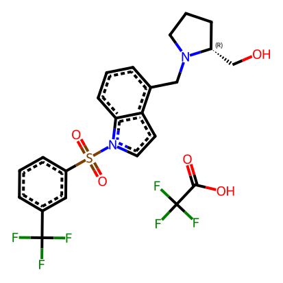 O=C(O)C(F)(F)F.O=S(=O)(c1cccc(C(F)(F)F)c1)n1ccc2c(CN3CCC[C@@H]3CO)cccc21